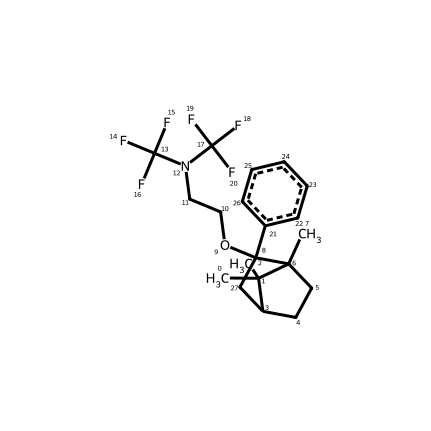 CC1(C)C2CCC1(C)C(OCCN(C(F)(F)F)C(F)(F)F)(c1ccccc1)C2